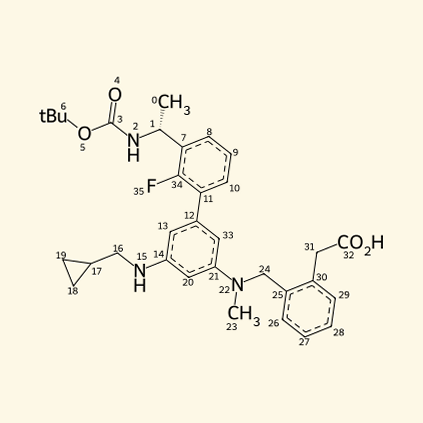 C[C@@H](NC(=O)OC(C)(C)C)c1cccc(-c2cc(NCC3CC3)cc(N(C)Cc3ccccc3CC(=O)O)c2)c1F